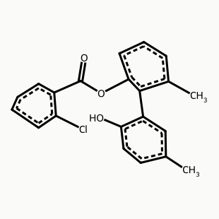 Cc1ccc(O)c(-c2c(C)cccc2OC(=O)c2ccccc2Cl)c1